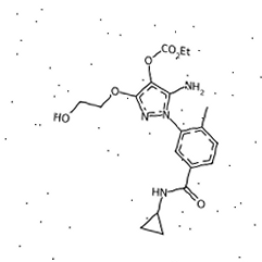 CCOC(=O)Oc1c(OCCO)nn(-c2cc(C(=O)NC3CC3)ccc2C)c1N